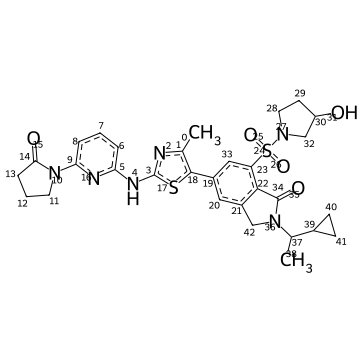 Cc1nc(Nc2cccc(N3CCCC3=O)n2)sc1-c1cc2c(c(S(=O)(=O)N3CCC(O)C3)c1)C(=O)N(C(C)C1CC1)C2